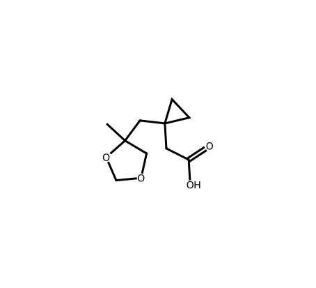 CC1(CC2(CC(=O)O)CC2)COCO1